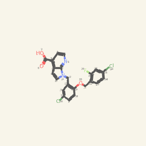 O=C(O)c1ccnc2c1ccn2Cc1cc(Cl)ccc1OCc1ccc(Cl)cc1F